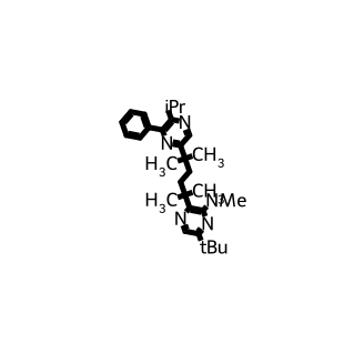 CNc1nc(C(C)(C)C)cnc1C(C)(C)CCC(C)(C)c1cnc(C(C)C)c(-c2ccccc2)n1